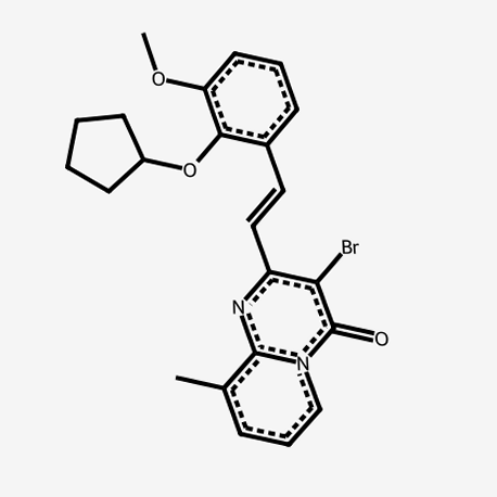 COc1cccc(/C=C/c2nc3c(C)cccn3c(=O)c2Br)c1OC1CCCC1